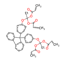 C=CC(=O)OC(CC)(OC(=O)C=C)Oc1ccc(C2(c3ccc(OC(CC)(OC(=O)C=C)OC(=O)C=C)cc3)c3ccccc3-c3ccccc32)cc1